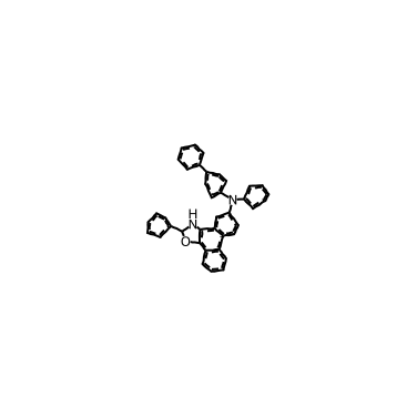 c1ccc(-c2ccc(N(c3ccccc3)c3ccc4c(c3)c3c(c5ccccc54)OC(c4ccccc4)N3)cc2)cc1